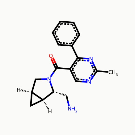 Cc1ncc(C(=O)N2C[C@@H]3C[C@@H]3[C@H]2CN)c(-c2ccccc2)n1